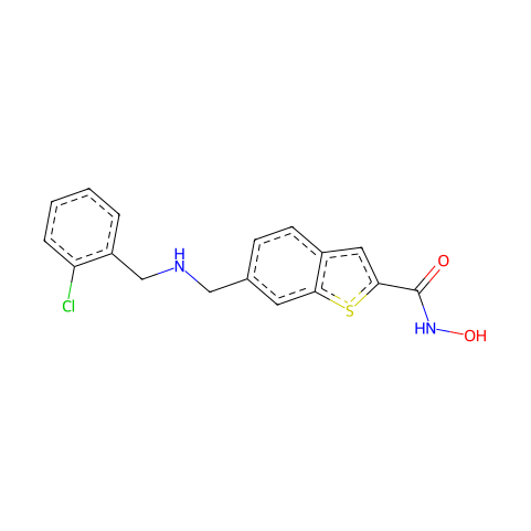 O=C(NO)c1cc2ccc(CNCc3ccccc3Cl)cc2s1